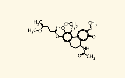 C=C(CCC(=O)Oc1cc2c(c(OC)c1OC)-c1ccc(SC)c(=O)cc1C(NC(C)=O)CC2)OC